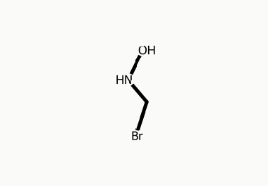 ONCBr